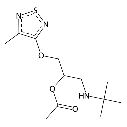 CC(=O)OC(CNC(C)(C)C)COc1nsnc1C